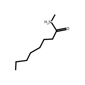 CCCCCCCC(=O)[SiH2]C